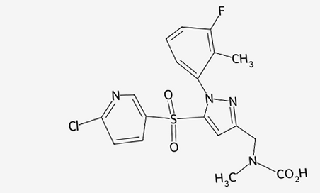 Cc1c(F)cccc1-n1nc(CN(C)C(=O)O)cc1S(=O)(=O)c1ccc(Cl)nc1